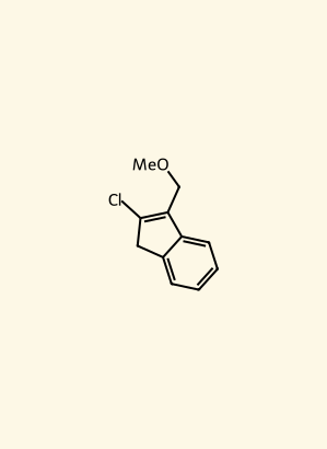 COCC1=C(Cl)Cc2ccccc21